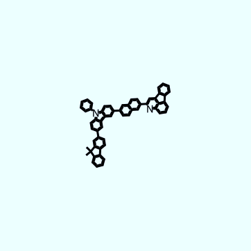 CC1(C)c2ccccc2-c2ccc(-c3ccc4c(c3)c3cc(-c5ccc6cc(-c7cc8c9c(cccc9n7)-c7ccccc7-8)ccc6c5)ccc3n4-c3ccccc3)cc21